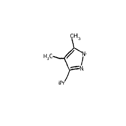 CC1=C(C)C(C(C)C)=N[N]1